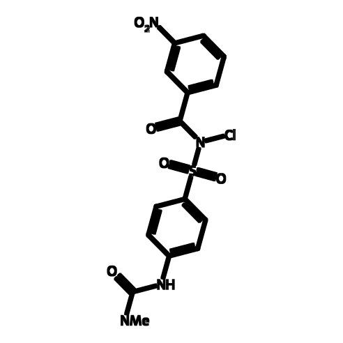 CNC(=O)Nc1ccc(S(=O)(=O)N(Cl)C(=O)c2cccc([N+](=O)[O-])c2)cc1